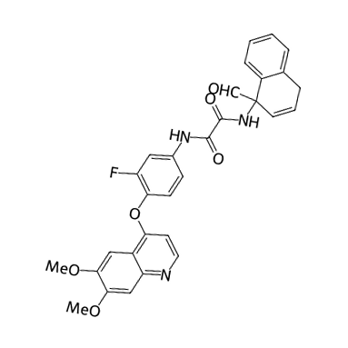 COc1cc2nccc(Oc3ccc(NC(=O)C(=O)NC4(C=O)C=CCc5ccccc54)cc3F)c2cc1OC